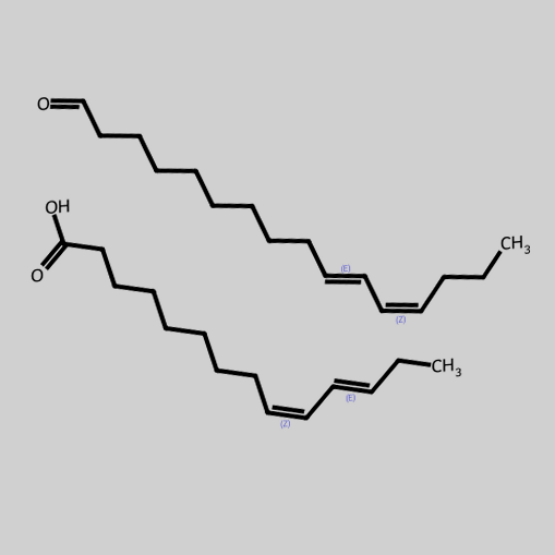 CC/C=C/C=C\CCCCCCCC(=O)O.CCC/C=C\C=C\CCCCCCCCC=O